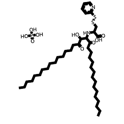 CCCCCCCCCCCCCCCC(=O)C(O)C(NC(CSSc1ccccn1)C(=O)O)C(=O)CCCCCCCCCCCCCCC.O=P(O)(O)O